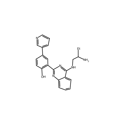 CCC(N)CNc1nc(-c2cc(-c3cccnc3)ccc2O)nc2ccccc12